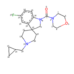 O=C(N1CCOCC1)N1CC2(CCN(CC3CC3)CC2)c2cc(F)ccc21